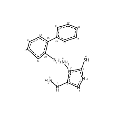 NNc1nnc(S)n1N.Nc1ccccc1-c1ccccc1